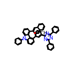 CC12C=CC=CC1C=C(c1cccc3c1c1c(-c4cccc(-c5nc(-c6ccccc6)nc(-c6ccccc6)n5)c4)cccc1n3-c1ccccc1)C=C2